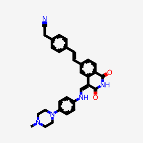 CN1CCN(c2ccc(N/C=C3\C(=O)NC(=O)c4ccc(/C=C/c5ccc(CC#N)cc5)cc43)cc2)CC1